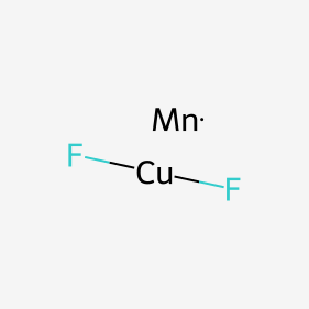 [F][Cu][F].[Mn]